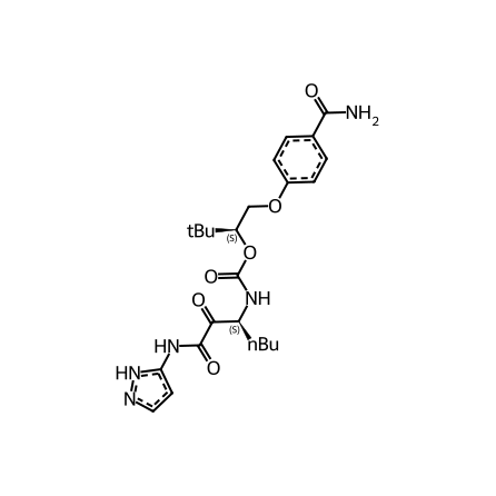 CCCC[C@H](NC(=O)O[C@H](COc1ccc(C(N)=O)cc1)C(C)(C)C)C(=O)C(=O)Nc1ccn[nH]1